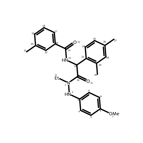 CCN(Nc1ccc(OC)cc1)C(=O)C(NC(=O)c1cccc(C)c1)c1ccc(C)cc1C